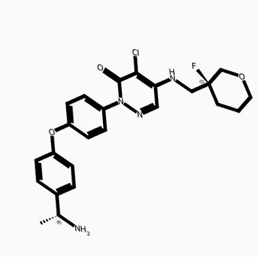 C[C@@H](N)c1ccc(Oc2ccc(-n3ncc(NC[C@@]4(F)CCCOC4)c(Cl)c3=O)cc2)cc1